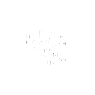 CC(C)(C)OC(=O)N1C=CC(NC(=N)N)N1C(=O)OC(C)(C)C